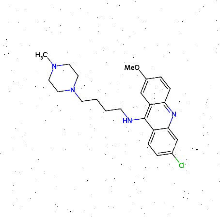 COc1ccc2nc3cc(Cl)ccc3c(NCCCCN3CCN(C)CC3)c2c1